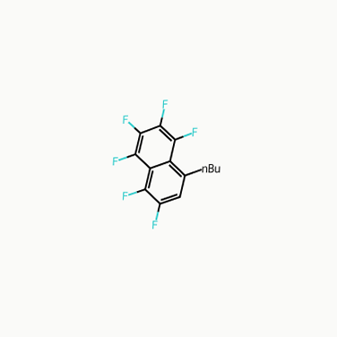 [CH2][CH]CCc1cc(F)c(F)c2c(F)c(F)c(F)c(F)c12